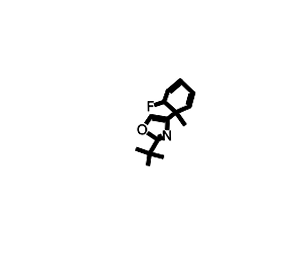 CC(C)(C)c1nc(C2(C)C=CC=CC2F)co1